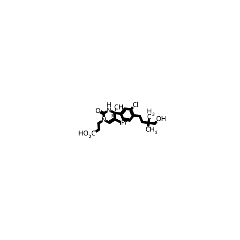 CC(C)C1=CN(CCC(=O)O)C(=O)N[C@@]1(C)c1ccc(CCC(C)(C)CO)c(Cl)c1